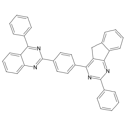 c1ccc(-c2nc(-c3ccc(-c4nc(-c5ccccc5)c5ccccc5n4)cc3)c3c(n2)-c2ccccc2C3)cc1